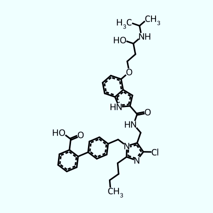 CCCCc1nc(Cl)c(CNC(=O)c2cc3c(OCCC(O)NC(C)C)cccc3[nH]2)n1Cc1ccc(-c2ccccc2C(=O)O)cc1